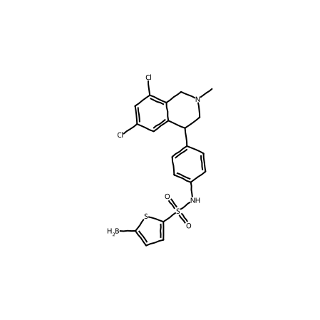 Bc1ccc(S(=O)(=O)Nc2ccc(C3CN(C)Cc4c(Cl)cc(Cl)cc43)cc2)s1